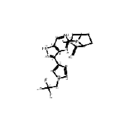 CN1CC2CCC(C1=O)N2c1ncc2[nH]nc(-c3cnn(CC(F)(F)F)c3)c2n1